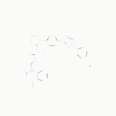 CC(C)c1ccccc1N1C(=O)CS/C1=N\C(=O)NC1CCCC1c1ccc(-c2ncn(-c3ccc(OC(F)(F)F)cc3)n2)cc1